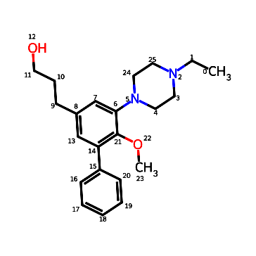 CCN1CCN(c2cc(CCCO)cc(-c3ccccc3)c2OC)CC1